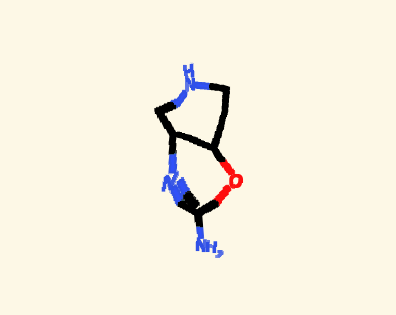 NC1=NC2CNCC2O1